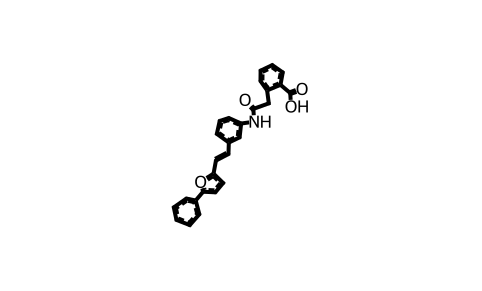 O=C(Cc1ccccc1C(=O)O)Nc1cccc(C=Cc2ccc(-c3ccccc3)o2)c1